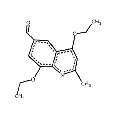 CCOc1cc(C)nc2c(OCC)cc(C=O)cc12